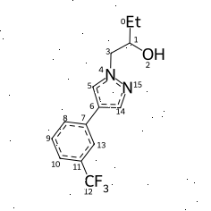 CCC(O)Cn1cc(-c2cccc(C(F)(F)F)c2)cn1